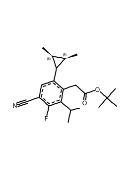 CC(C)c1c(F)c(C#N)cc(C2[C@@H](C)[C@H]2C)c1CC(=O)OC(C)(C)C